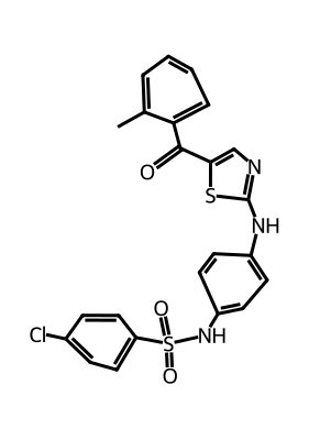 Cc1ccccc1C(=O)c1cnc(Nc2ccc(NS(=O)(=O)c3ccc(Cl)cc3)cc2)s1